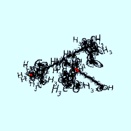 CC(=O)NC1C(OCCCCC(=O)NCCN(CCNC(=O)CCCCOC2OC(COC(C)=O)C(OC(C)=O)C(OC(C)=O)C2NC(C)=O)C(=O)CC[C@H](NC(=O)CCCCOC2OC(COC(C)=O)C(OC(C)=O)C(OC(C)=O)C2NC(C)=O)C(=O)NCCCCCCCCCCC(=O)O)OC(COC(C)=O)C(OC(C)=O)C1OC(C)=O